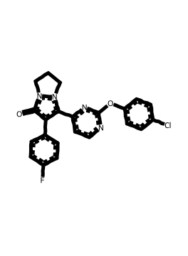 O=c1c(-c2ccc(F)cc2)c(-c2ccnc(Oc3ccc(Cl)cc3)n2)n2n1CCC2